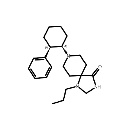 CCCN1CNC(=O)C12CCN([C@@H]1CCCC[C@@H]1c1ccccc1)CC2